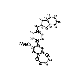 COc1cc2c(cc1N1CCN(CC3Cc4ccccc4C3)CC1)OCC=CO2